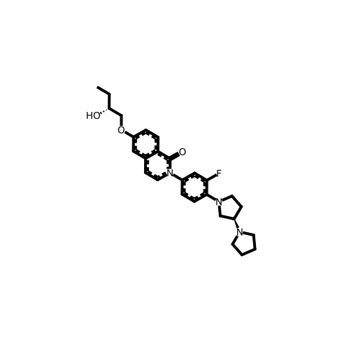 CC[C@@H](O)COc1ccc2c(=O)n(-c3ccc(N4CC[C@@H](N5CCCC5)C4)c(F)c3)ccc2c1